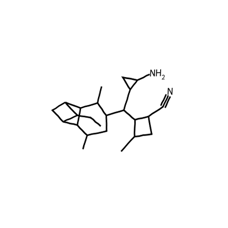 CCC1C2CC1C1C(C)C(C(C3CC3N)C3C(C)CC3C#N)CC(C)C21